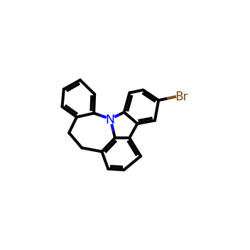 Brc1ccc2c(c1)c1cccc3c1n2-c1ccccc1CC3